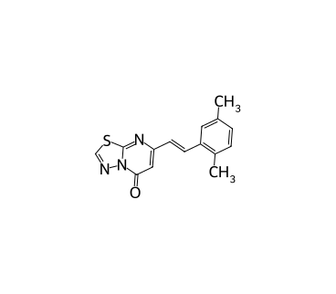 Cc1ccc(C)c(/C=C/c2cc(=O)n3ncsc3n2)c1